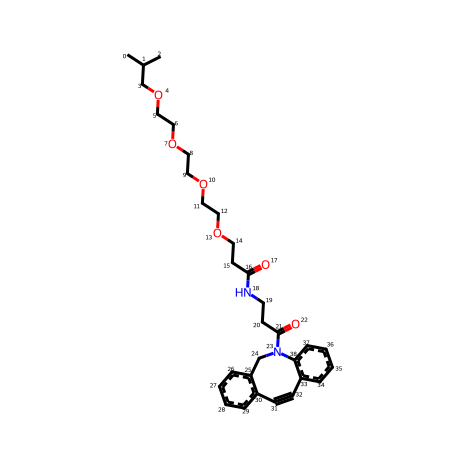 CC(C)COCCOCCOCCOCCC(=O)NCCC(=O)N1Cc2ccccc2C#Cc2ccccc21